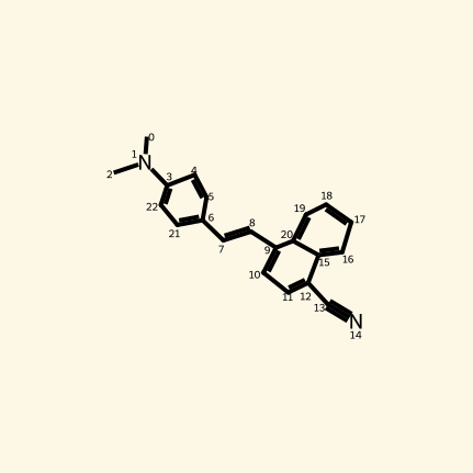 CN(C)c1ccc(/C=C/c2ccc(C#N)c3ccccc23)cc1